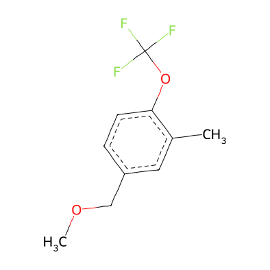 COCc1ccc(OC(F)(F)F)c(C)c1